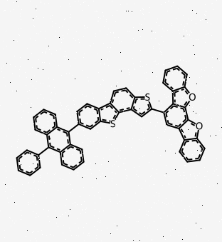 c1ccc(-c2c3ccccc3c(-c3ccc4c(c3)sc3c5cc(-c6cc7c8ccccc8oc7c7oc8ccccc8c67)sc5ccc43)c3ccccc23)cc1